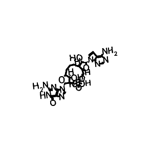 Nc1nc2c(ncn2[C@@H]2OC3CCC[C@H]4[C@@H](O)[C@H](n5ccc6c(N)ncnc65)O[C@@H]4COP(=O)(O)O[C@@H]2[C@@H]3O)c(=O)[nH]1